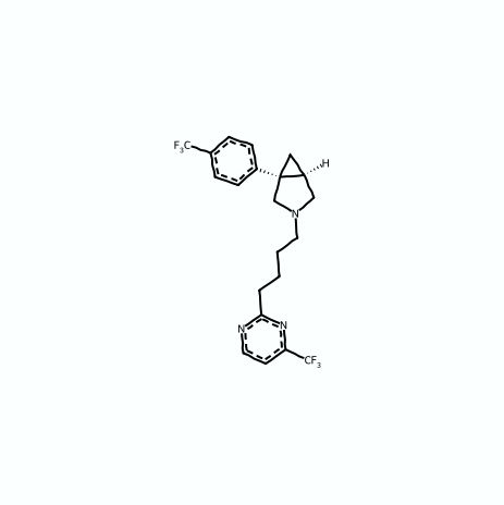 FC(F)(F)c1ccc([C@]23C[C@H]2CN(CCCCc2nccc(C(F)(F)F)n2)C3)cc1